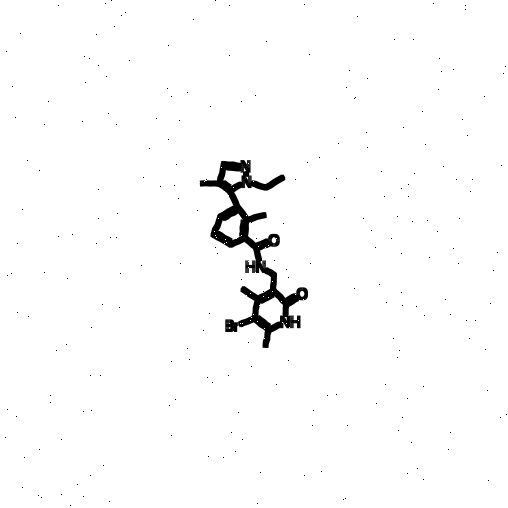 CCn1ncc(C)c1-c1cccc(C(=O)NCc2c(C)c(Br)c(C)[nH]c2=O)c1C